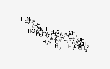 CCC(CC)(c1ccc(CCC(O)C(C)(C)C)c(C)c1)c1ccc(OCC(=O)NC(CCCCN)C(=O)O)c(C)c1